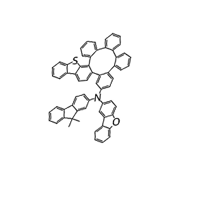 CC1(C)c2ccccc2-c2ccc(N(c3ccc4oc5ccccc5c4c3)c3ccc4c5ccccc5c5ccccc5c5ccccc5c5c(ccc6c7ccccc7sc65)c4c3)cc21